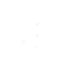 O[SiH2][SiH2]O[SiH3]